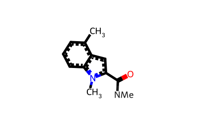 CNC(=O)c1cc2c(C)cccc2n1C